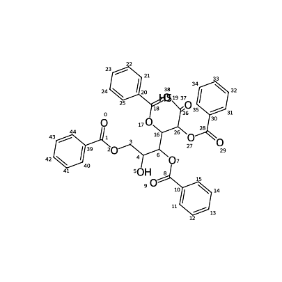 O=C(OCC(O)C(OC(=O)c1ccccc1)C(OC(=O)c1ccccc1)C(OC(=O)c1ccccc1)C(=O)S)c1ccccc1